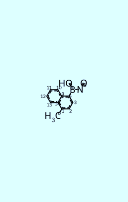 Cc1ccc(B(O)N=O)c2ccccc12